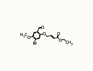 CCOC(=O)/C=C/COc1cc(Br)c(OC)cc1C=O